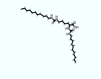 CCCCCCCCCCCNC(=O)NCCCCC(NC(=O)NCCCCCCCCCCC)C(=O)O